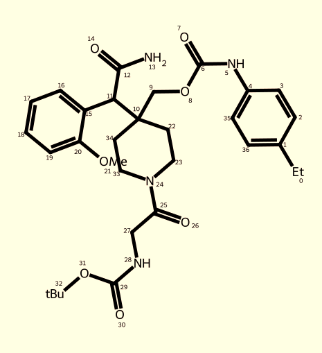 CCc1ccc(NC(=O)OCC2(C(C(N)=O)c3ccccc3OC)CCN(C(=O)CNC(=O)OC(C)(C)C)CC2)cc1